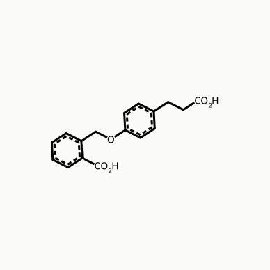 O=C(O)CCc1ccc(OCc2ccccc2C(=O)O)cc1